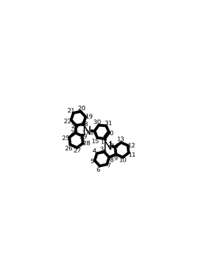 C1=C(N2C3CCCCC3C3CCCCC32)CC(N2C3CCCCC3C3CCCCC32)CC1